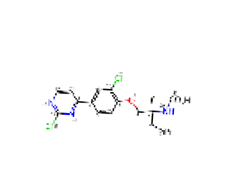 CC(C)CC(C)(COc1ccc(-c2ccnc(Cl)n2)cc1Cl)NC(=O)O